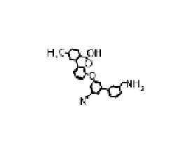 Cc1ccc(C(=O)O)c(-c2cccc(Oc3cc(C#N)cc(-c4cccc(CN)c4)c3)c2)c1